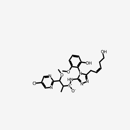 COc1cccc(O)c1-n1c(C/C=C\CCO)nnc1N[S+]([O-])C(C)C(OC)c1ncc(Cl)cn1